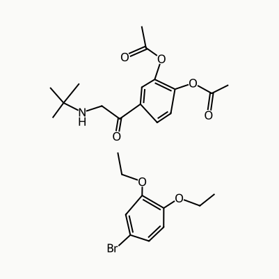 CC(=O)Oc1ccc(C(=O)CNC(C)(C)C)cc1OC(C)=O.CCOc1ccc(Br)cc1OCC